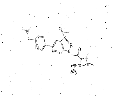 BB[C@@H]1C[C@H](C)[C@@H](C)N1C(=O)Cn1nc(C(C)=O)c2cc(-c3cnc(CN(C)C)nc3)ncc21